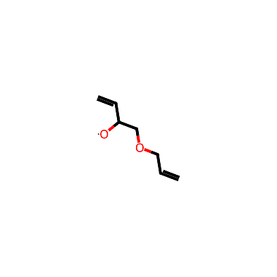 C=CCOCC([O])C=C